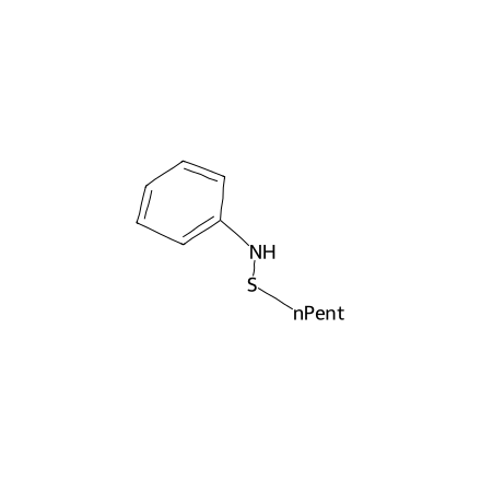 CCCCCSNc1ccccc1